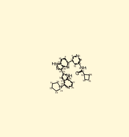 O=C(Nc1cncc(-c2ccc3[nH]nc(-c4cc5c(N6CCCCC6)nccc5[nH]4)c3n2)c1)C1CCC1